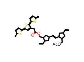 C=CC1CC(/C=C/C2CC(C=C)C(COC(=O)Cc3c/c(=C4/C=CC(C)S4)s/c3=c3\ccc(=C)s3)C2)C(COC(C)=O)C1